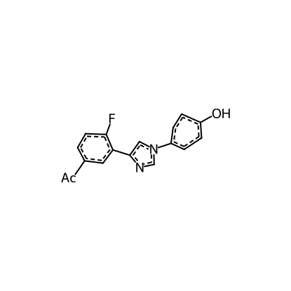 CC(=O)c1ccc(F)c(-c2cn(-c3ccc(O)cc3)cn2)c1